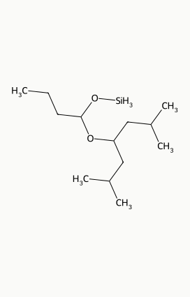 CCCC(O[SiH3])OC(CC(C)C)CC(C)C